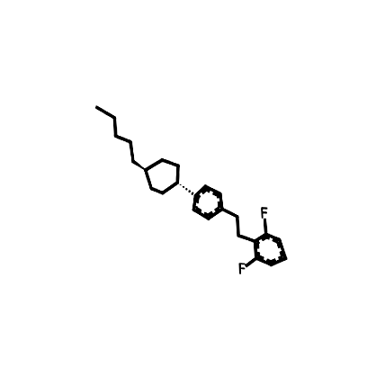 CCCCC[C@H]1CC[C@H](c2ccc(CCc3c(F)cccc3F)cc2)CC1